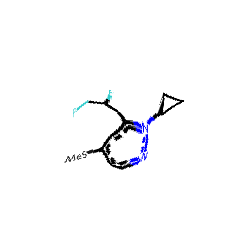 CSc1cnn(C2CC2)c1C(F)F